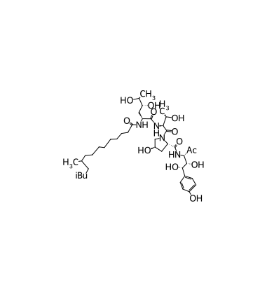 CCC(C)CC(C)CCCCCCCCC(=O)N[C@@H](C[C@@H](O)[C@H](C)O)C(=O)N[C@H](C(=O)N1C[C@H](O)C[C@H]1C(=O)N[C@H](C(C)=O)[C@H](O)[C@@H](O)c1ccc(O)cc1)[C@@H](C)O